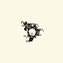 CC[C@H](C)C1NC(=O)[C@H](Cc2ccc(O)cc2)NC(=O)[C@@H](N)CSSCC(C(=O)N2CCCC2C(=O)N[C@@H](CC(C)C)C(=O)NCC(N)=O)NC(=O)[C@H](CC(N)=O)NC(=O)[C@H](CC(N)=O)NC1=O